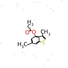 CCc1cc(OC(C)=O)c2c(C)csc2c1